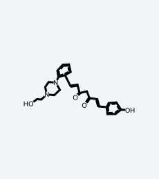 O=C(C=Cc1ccc(O)cc1)CC(=O)C=Cc1ccccc1N1CCN(CCO)CC1